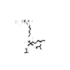 C=C(C)C(=O)OCC(CCCCCC)(COC(=O)C(=C)C)C(=O)OCCCCCCS(=O)(=O)ON